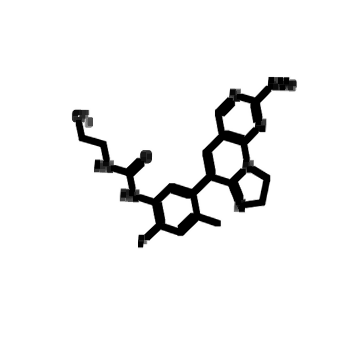 CNc1ncc2c(n1)N1CCN=C1C(c1cc(NC(=O)NCCC(F)(F)F)c(F)cc1C)=C2